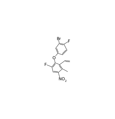 C=Cc1c(C)c([N+](=O)[O-])cc(F)c1Oc1ccc(F)c(Br)c1